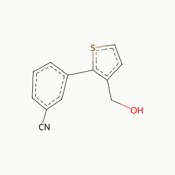 N#Cc1cccc(-c2sccc2CO)c1